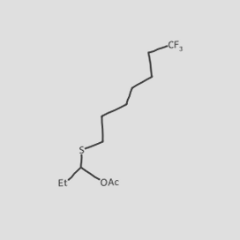 CCC(OC(C)=O)SCCCCCCC(F)(F)F